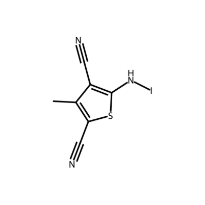 Cc1c(C#N)sc(NI)c1C#N